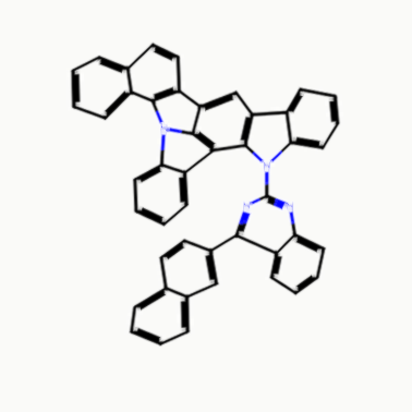 c1ccc2cc(-c3nc(-n4c5ccccc5c5cc6c7ccc8ccccc8c7n7c8ccccc8c(c54)c67)nc4ccccc34)ccc2c1